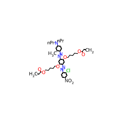 C=CC(=O)OCCCCCOc1cc(/N=N/c2ccc([N+](=O)[O-])cc2Cl)c(OCCCCCOC(=O)C=C)cc1/N=N/c1ccc(N(CCC)CCC)cc1C